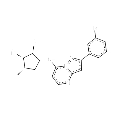 [CH2][C@@H]1C[C@@H](Nc2ccnc3cc(-c4cccc(Br)c4)nn23)[C@H](O)[C@@H]1O